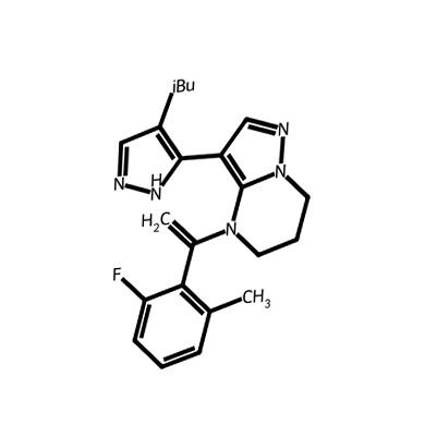 C=C(c1c(C)cccc1F)N1CCCn2ncc(-c3[nH]ncc3C(C)CC)c21